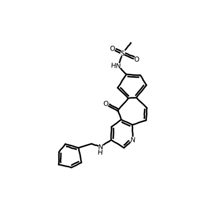 CS(=O)(=O)Nc1ccc2ccc3ncc(NCc4ccccc4)cc3c(=O)c2c1